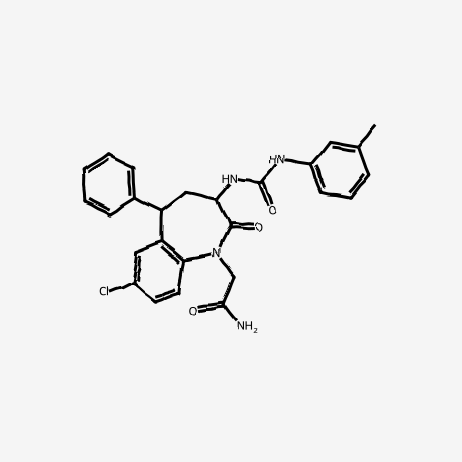 Cc1cccc(NC(=O)NC2CC(c3ccccc3)c3cc(Cl)ccc3N(CC(N)=O)C2=O)c1